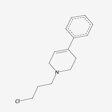 ClCCCN1CC=C(c2ccccc2)CC1